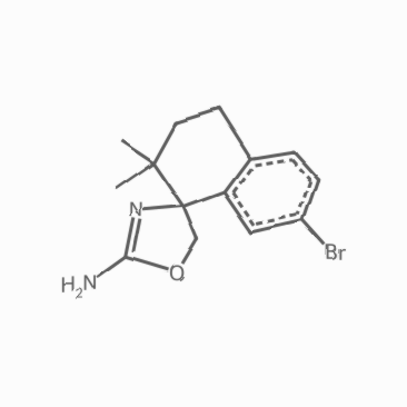 CC1(C)CCc2ccc(Br)cc2C12COC(N)=N2